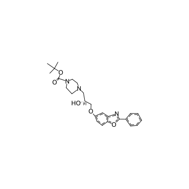 CC(C)(C)OC(=O)N1CCN(C[C@@H](O)COc2ccc3oc(-c4ccccc4)nc3c2)CC1